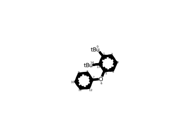 CC(C)(C)c1cccc(Oc2ccccc2)c1C(C)(C)C